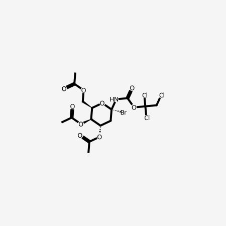 CC(=O)OC[C@H]1O[C@@](Br)(NC(=O)OC(Cl)(Cl)CCl)C[C@H](OC(C)=O)[C@H]1OC(C)=O